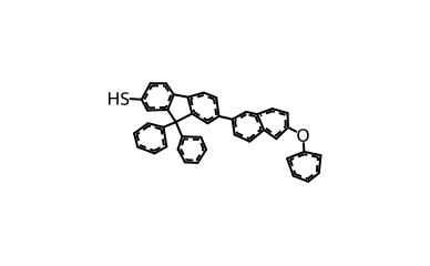 Sc1ccc2c(c1)C(c1ccccc1)(c1ccccc1)c1cc(-c3ccc4cc(Oc5ccccc5)ccc4c3)ccc1-2